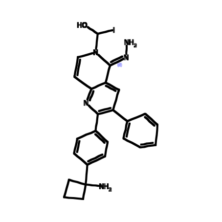 N/N=c1/c2cc(-c3ccccc3)c(-c3ccc(C4(N)CCC4)cc3)nc2ccn1C(O)I